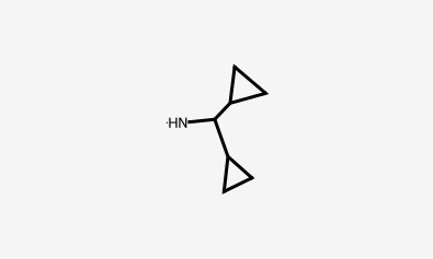 [NH]C(C1CC1)C1CC1